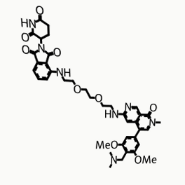 COc1cc(-c2cn(C)c(=O)c3cnc(NCCOCCOCCNc4cccc5c4C(=O)N(C4CCC(=O)NC4=O)C5=O)cc23)cc(OC)c1CN(C)C